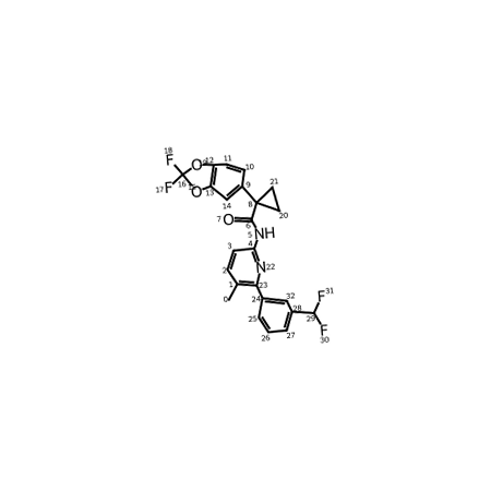 Cc1ccc(NC(=O)C2(c3ccc4c(c3)OC(F)(F)O4)CC2)nc1-c1cccc(C(F)F)c1